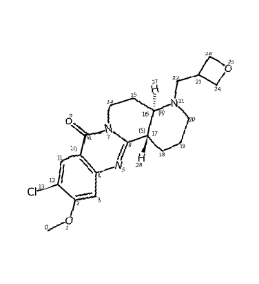 COc1cc2nc3n(c(=O)c2cc1Cl)CC[C@@H]1[C@@H]3CCCN1CC1COC1